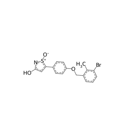 Cc1c(Br)cccc1COc1ccc(-c2cc(O)n[s+]2[O-])cc1